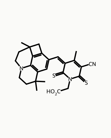 CC1=C(C#N)C(=S)N(CC(=O)O)C(=S)/C1=C\c1cc2c3c4c1CC4(C)CCN3CCC2(C)C